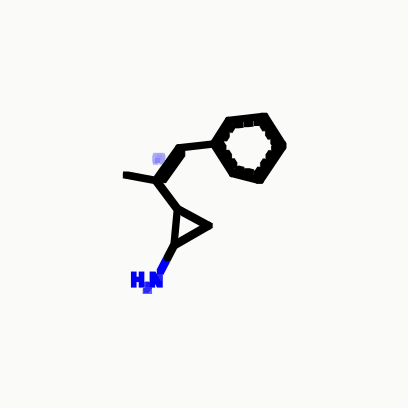 C/C(=C/c1ccccc1)C1CC1N